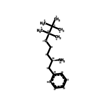 CC(C)(C)[Si](C)(C)OCC[C@H](N)Cc1ccccn1